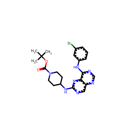 CC(C)(C)OC(=O)N1CCC(Nc2ncc3ncnc(Nc4cccc(Br)c4)c3n2)CC1